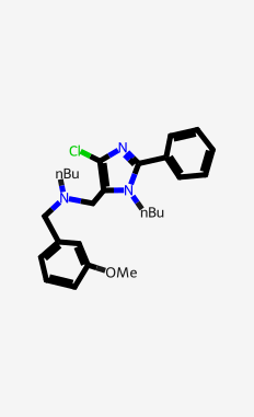 CCCCN(Cc1cccc(OC)c1)Cc1c(Cl)nc(-c2ccccc2)n1CCCC